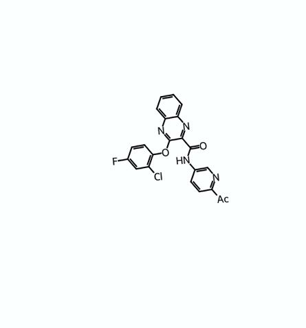 CC(=O)c1ccc(NC(=O)c2nc3ccccc3nc2Oc2ccc(F)cc2Cl)cn1